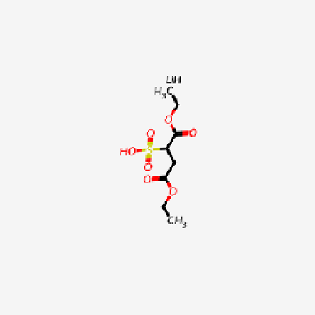 CCOC(=O)CC(C(=O)OCC)S(=O)(=O)O.[LiH]